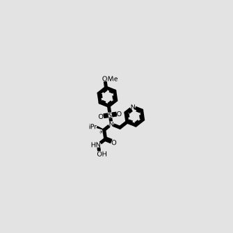 [CH2]C(C)[C@H](C(=O)NO)N(Cc1cccnc1)S(=O)(=O)c1ccc(OC)cc1